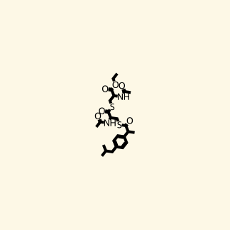 CCOC(=O)C(CSC(=O)C(CSC(=O)C(C)c1ccc(CC(C)C)cc1)NC(C)=O)NC(C)=O